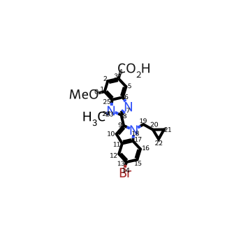 COc1cc(C(=O)O)cc2nc(-c3cc4cc(Br)ccc4n3CC3CC3)n(C)c12